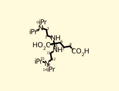 CC(C)N(CCNC(CCCC(=O)O)(NCCN(C(C)C)C(C)C)C(=O)O)C(C)C